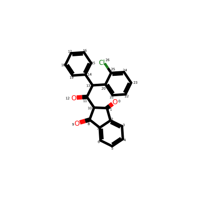 O=C1c2ccccc2C(=O)C1C(=O)C(c1ccccc1)c1ccccc1Cl